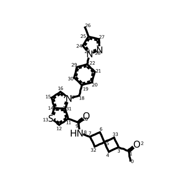 CC(=O)C1CC2(CC(NC(=O)c3csc4ccn(Cc5ccc(-n6cc(C)cn6)cc5)c34)C2)C1